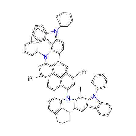 Cc1cc2c3ccccc3n(-c3ccccc3)c2c(C)c1N(c1cccc2c1CCCC2)c1cc(C(C)C)c2ccc3c(N(c4cccc5c4CCCC5)c4c(C)ccc5c4c4ccccc4n5-c4ccccc4)cc(C(C)C)c4ccc1c2c43